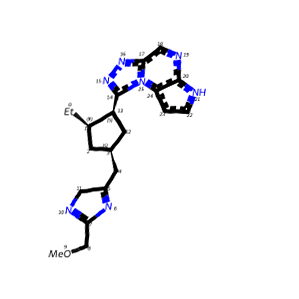 CC[C@@H]1C[C@H](CC2=NC(COC)=NC2)C[C@@H]1c1nnc2cnc3[nH]ccc3n12